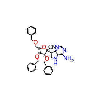 N#C[C@@]1(c2c[nH]c3c(N)ncnc23)O[C@H](COCc2ccccc2)[C@@H](OCc2ccccc2)[C@H]1OCc1ccccc1